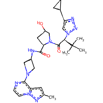 Cc1cc2c(N3CC(NC(=O)C4CC(O)CN4C(=O)[C@@H](n4cc(C5CC5)nn4)C(C)(C)C)C3)nccn2n1